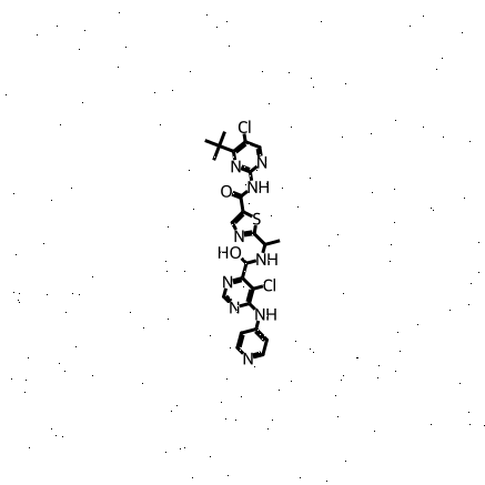 CC(NC(O)c1ncnc(Nc2ccncc2)c1Cl)c1ncc(C(=O)Nc2ncc(Cl)c(C(C)(C)C)n2)s1